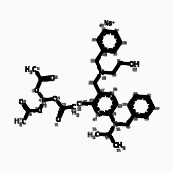 CC(=O)O[BH-](OC(C)=O)OC(C)=O.CC(C)N(Cc1ccccc1)c1cnc(CN(CCO)Cc2ccccc2)c(Cl)n1.[Na+]